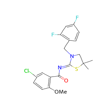 COc1ccc(Cl)cc1C(=O)/N=C1\SC(C)(C)CN1Cc1ccc(F)cc1F